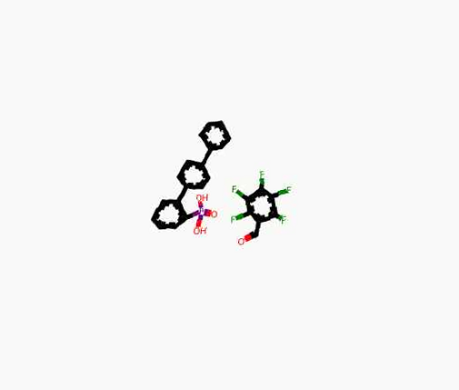 O=Cc1c(F)c(F)c(F)c(F)c1F.O=P(O)(O)c1ccccc1-c1ccc(-c2ccccc2)cc1